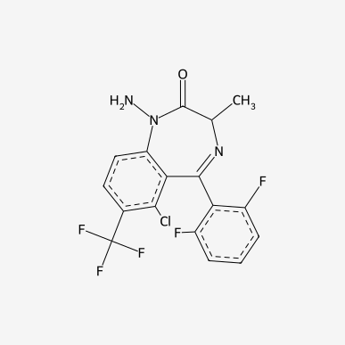 CC1N=C(c2c(F)cccc2F)c2c(ccc(C(F)(F)F)c2Cl)N(N)C1=O